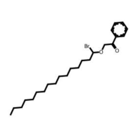 CCCCCCCCCCCCCCCC(Br)OCC(=O)c1ccccc1